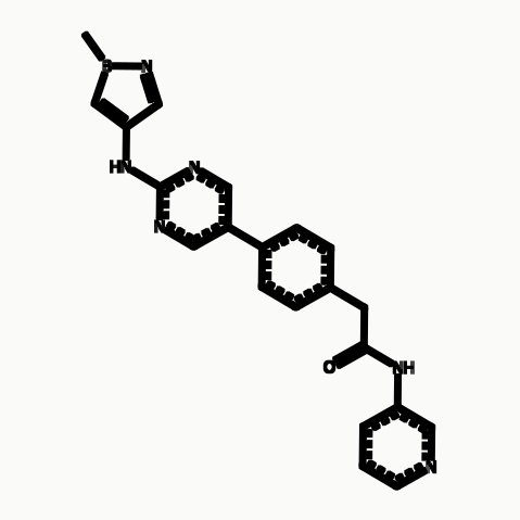 CB1C=C(Nc2ncc(-c3ccc(CC(=O)Nc4cccnc4)cc3)cn2)C=N1